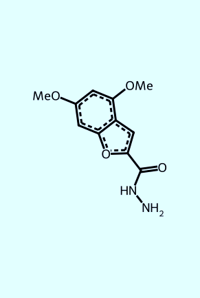 COc1cc(OC)c2cc(C(=O)NN)oc2c1